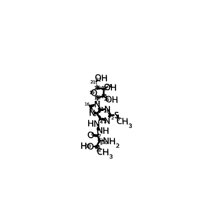 CSc1nc(NNC(=O)[C@@H](N)[C@@H](C)O)c2ncn([C@@H]3O[C@H](CO)[C@@H](O)[C@H]3O)c2n1